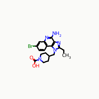 CCc1nc2c(N)nc3cc(Br)ccc3c2n1CC1CCN(C(=O)O)CC1